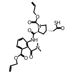 C=CCOC(=O)c1cccc(NC(=O)[C@@H]2C[C@@H](CC(=O)S)CN2C(=O)OCC=C)c1C(=O)N(C)C